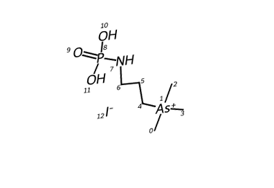 C[As+](C)(C)CCCNP(=O)(O)O.[I-]